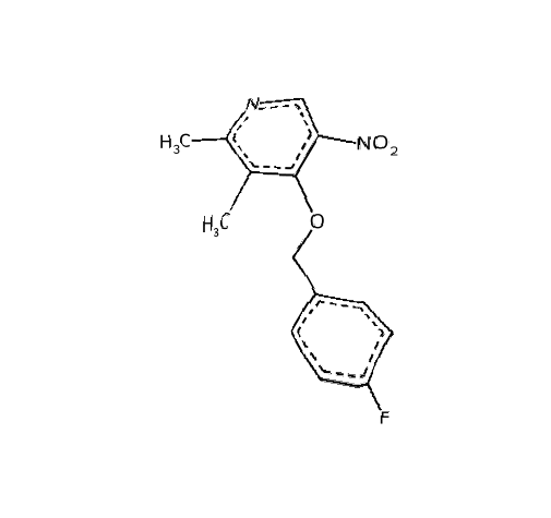 Cc1ncc([N+](=O)[O-])c(OCc2ccc(F)cc2)c1C